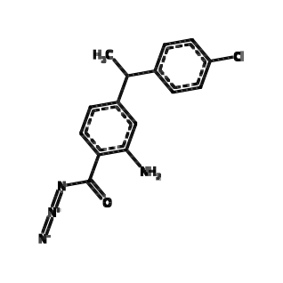 CC(c1ccc(Cl)cc1)c1ccc(C(=O)N=[N+]=[N-])c(N)c1